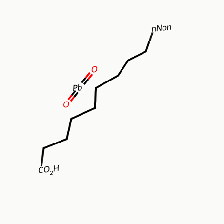 CCCCCCCCCCCCCCCCCC(=O)O.[O]=[Pb]=[O]